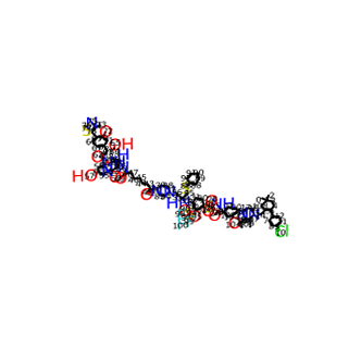 CC1(C)CCC(c2ccc(Cl)cc2)=C(CN2CCN3c4ccc(C(=O)NS(=O)(=O)c5ccc(N[C@H](CCN6CCN(C(=O)CCCCCC(=O)N[C@H](C(=O)N7C[C@H](O)C[C@H]7NC(=O)[C@@H](CO)c7ccc8c(c7)OCc7ncsc7-8)C(C)(C)C)CC6)CSc6ccccc6)c(S(=O)(=O)C(F)(F)F)c5)cc4OC[C@@H]3C2)C1